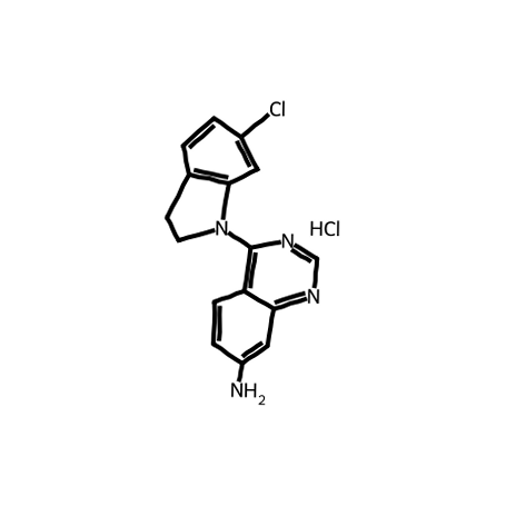 Cl.Nc1ccc2c(N3CCc4ccc(Cl)cc43)ncnc2c1